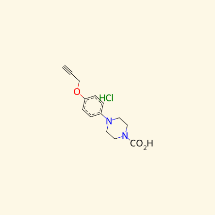 C#CCOc1ccc(N2CCN(C(=O)O)CC2)cc1.Cl